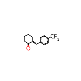 O=C1CCCCC1=Cc1ccc(C(F)(F)F)cc1